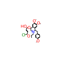 CCCN1CCc2cc(OC)c(OC)cc2C1Cc1ccc(OC)cc1.O=C(O)C=CC(=O)Cl